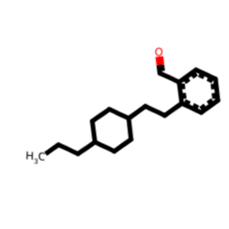 CCCC1CCC(CCc2ccccc2C=O)CC1